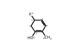 CC1=C(O)CC(F)C=C1